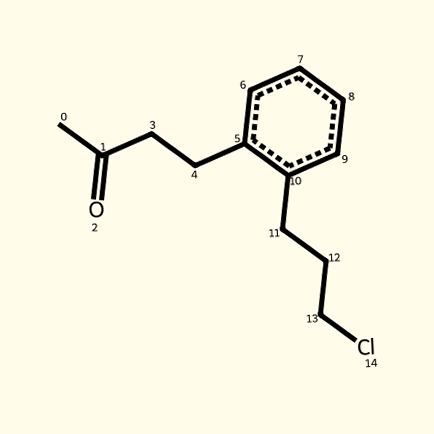 CC(=O)CCc1ccccc1CCCCl